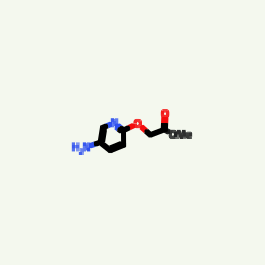 COC(=O)COc1ccc(N)cn1